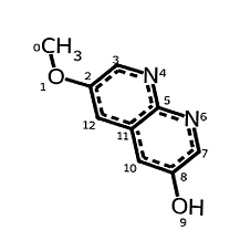 COc1cnc2ncc(O)cc2c1